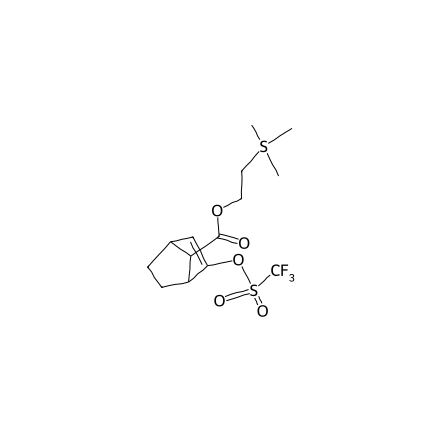 CS(C)(C)CCOC(=O)C1C2C=C(OS(=O)(=O)C(F)(F)F)C1CC2